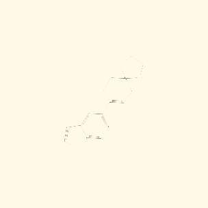 C1=C(c2ccc3sccc3c2)CCC2(C1)OCCO2